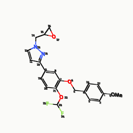 COc1ccc(COc2cc(-c3ccn(CC4CO4)n3)ccc2OC(F)F)cc1